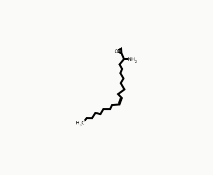 CCCCCCCC/C=C\CCCCCCCC(N)C1CO1